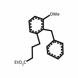 CCOC(=O)CCCc1cccc(OC)c1Cc1ccccc1